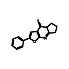 S=c1c2cc(-c3ccccc3)oc2nc2n1CCC2